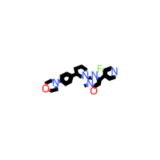 Cn1c(N2CCCC(c3ccc(N4CCOCC4)cc3)C2)nc(-c2ccncc2F)cc1=O